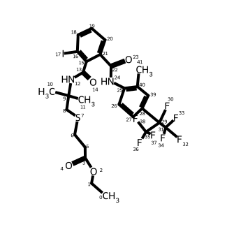 CCOC(=O)CCSCC(C)(C)NC(=O)c1c(I)cccc1C(=O)Nc1ccc(C(F)(C(F)(F)F)C(F)(F)F)cc1C